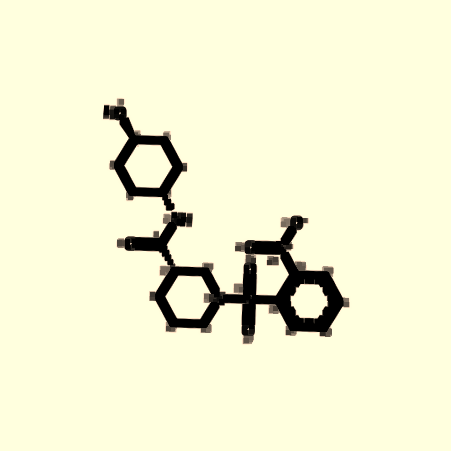 O=C(N[C@H]1CC[C@H](O)CC1)[C@H]1CCCN(S(=O)(=O)c2ccccc2[N+](=O)[O-])C1